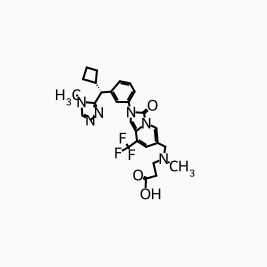 CN(CCC(=O)O)Cc1cc(C(F)(F)F)c2cn(-c3cccc([C@H](c4nncn4C)C4CCC4)c3)c(=O)n2c1